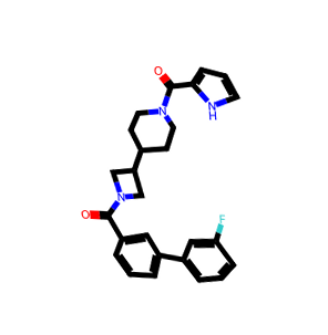 O=C(c1cccc(-c2cccc(F)c2)c1)N1CC(C2CCN(C(=O)c3ccc[nH]3)CC2)C1